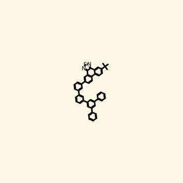 CC(C)(C)c1ccc2c3ccc(-c4cccc(-c5cccc(-c6cc(-c7ccccc7)cc(-c7ccccc7)c6)c5)c4)cc3c3nsnc3c2c1